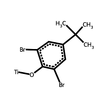 CC(C)(C)c1cc(Br)c([O][Ti])c(Br)c1